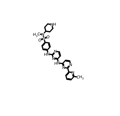 Cc1cccc(-c2nccc(Nc3ccnc(Nc4ccc(S(=O)(=O)N(C)C5CCNCC5)cc4)n3)n2)n1